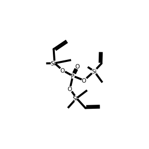 C=C[Si](C)(C)OP(=O)(O[Si](C)(C)C=C)O[Si](C)(C)C=C